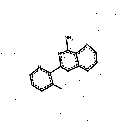 Cc1cccnc1-c1cc2cccnc2c(N)n1